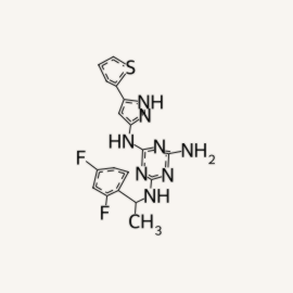 CC(Nc1nc(N)nc(Nc2cc(-c3cccs3)[nH]n2)n1)c1ccc(F)cc1F